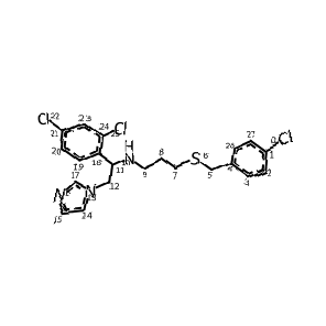 Clc1ccc(CSCCCNC(Cn2ccnc2)c2ccc(Cl)cc2Cl)cc1